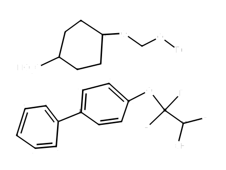 CCOCOC1CCC(C(=O)O)CC1.FC(C(F)(F)F)C(F)(F)Oc1ccc(-c2ccccc2)cc1